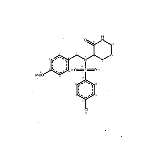 COc1ccc(CN(C2CCCNC2=O)S(=O)(=O)c2ccc(Cl)cc2)cc1